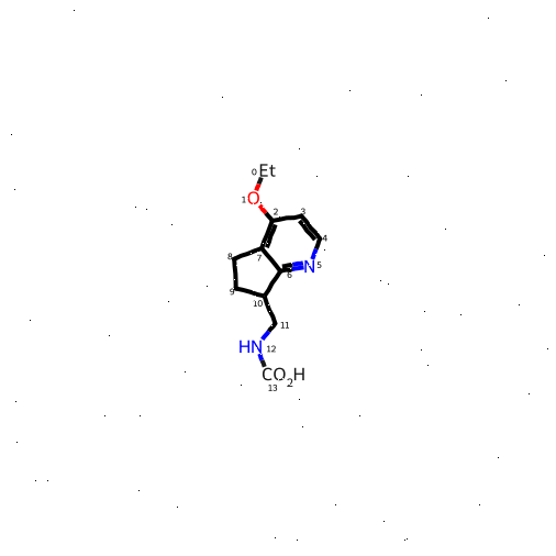 CCOc1ccnc2c1CCC2CNC(=O)O